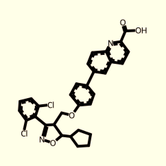 O=C(O)c1ccc2cc(-c3ccc(OCC4C(c5c(Cl)cccc5Cl)=NOC4C4CCCC4)cc3)ccc2n1